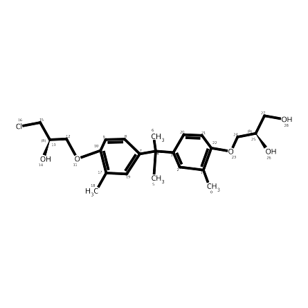 Cc1cc(C(C)(C)c2ccc(OC[C@@H](O)CCl)c(C)c2)ccc1OC[C@H](O)CO